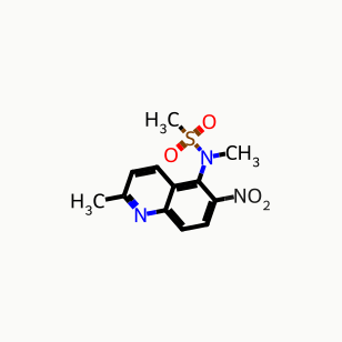 Cc1ccc2c(N(C)S(C)(=O)=O)c([N+](=O)[O-])ccc2n1